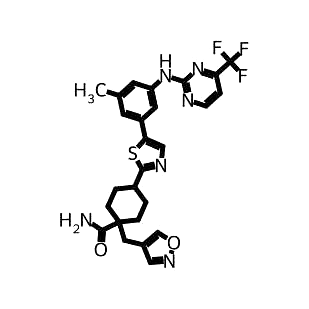 Cc1cc(Nc2nccc(C(F)(F)F)n2)cc(-c2cnc(C3CCC(Cc4cnoc4)(C(N)=O)CC3)s2)c1